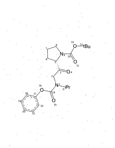 CC(C)N(CC(=O)[C@@H]1CCCN1C(=O)OC(C)(C)C)C(=O)Oc1ccccc1